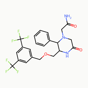 NC(=O)CN1CC(=O)NC(COCc2cc(C(F)(F)F)cc(C(F)(F)F)c2)C1c1ccccc1